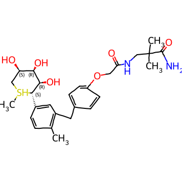 Cc1ccc([C@H]2[C@H](O)[C@H](O)[C@H](O)C[SH]2C)cc1Cc1ccc(OCC(=O)NCC(C)(C)C(N)=O)cc1